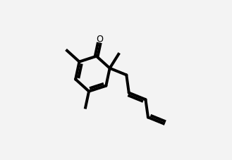 C=CC=CCC1(C)C=C(C)C=C(C)C1=O